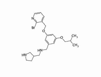 CC(C)COc1cc(CNCC2CCNC2)cc(OCc2cccnc2Br)c1